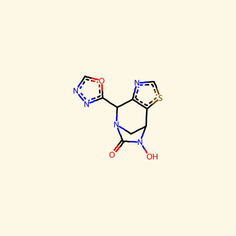 O=C1N(O)C2CN1C(c1nnco1)c1ncsc12